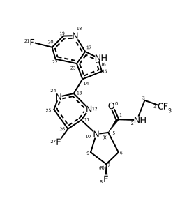 O=C(NCC(F)(F)F)[C@H]1C[C@@H](F)CN1c1nc(-c2c[nH]c3ncc(F)cc23)ncc1F